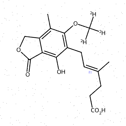 [2H]C([2H])([2H])Oc1c(C)c2c(c(O)c1C/C=C(\C)CCC(=O)O)C(=O)OC2